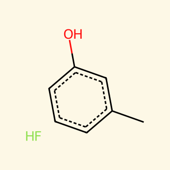 Cc1cccc(O)c1.F